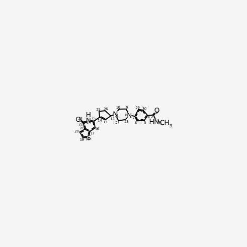 CNC(=O)c1ccc(N2CCN(C3C=C(c4cc5sccc5c(=O)[nH]4)CC3)CC2)cc1